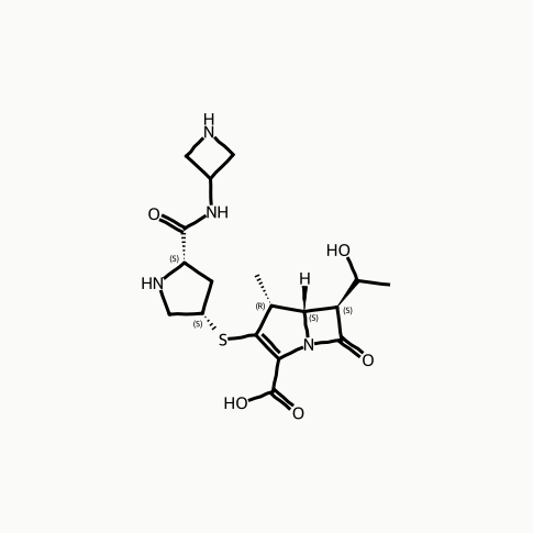 CC(O)[C@H]1C(=O)N2C(C(=O)O)=C(S[C@@H]3CN[C@H](C(=O)NC4CNC4)C3)[C@H](C)[C@H]12